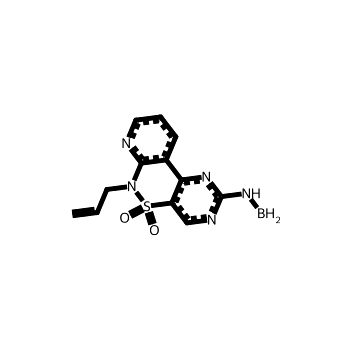 BNc1ncc2c(n1)-c1cccnc1N(CC=C)S2(=O)=O